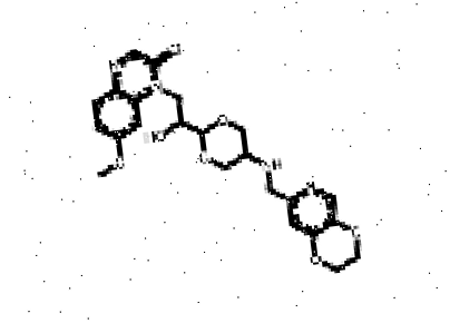 COc1ccc2ncc(=O)n(CC(O)C3OCC(NCc4cc5c(cn4)OCCO5)CO3)c2c1